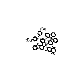 Cc1cc2c(cc1N1B3c4cccc5c4N(c4ccccc4C5(c4ccccc4)c4ccccc4)c4cc(N(c5ccc(C(C)(C)C)cc5)c5ccc(C(C)(C)C)cc5)cc(c43)-c3c1ccc1c3sc3ccccc31)C(C)(C)CCC2(C)C